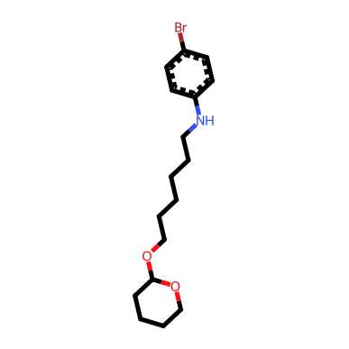 Brc1ccc(NCCCCCCOC2CCCCO2)cc1